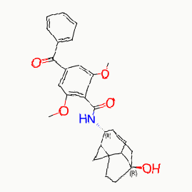 COc1cc(C(=O)c2ccccc2)cc(OC)c1C(=O)N[C@@H]1C2CC3C4(CC[C@@]3(O)C2)CC14